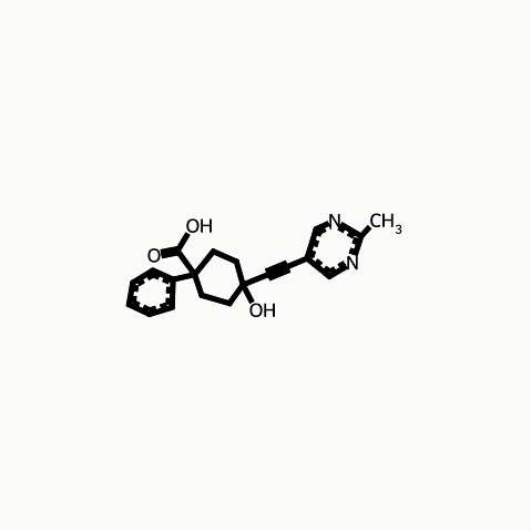 Cc1ncc(C#CC2(O)CCC(C(=O)O)(c3ccccc3)CC2)cn1